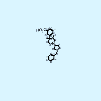 CC1CN(C2CCN(Cc3ccccc3)C2)CCC1(C)c1cccc(C(=O)O)c1